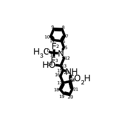 CC(F)(F)N(Cc1ccccc1)CC(O)C(Cc1ccccc1)NC(=O)O